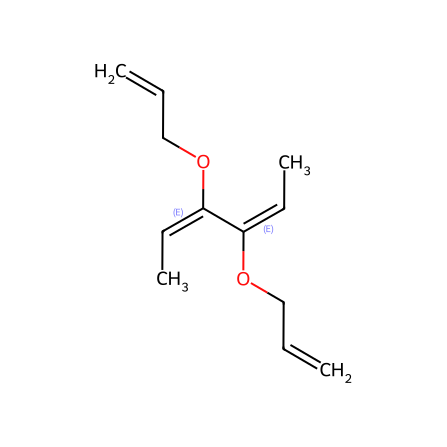 C=CCOC(=C/C)/C(=C\C)OCC=C